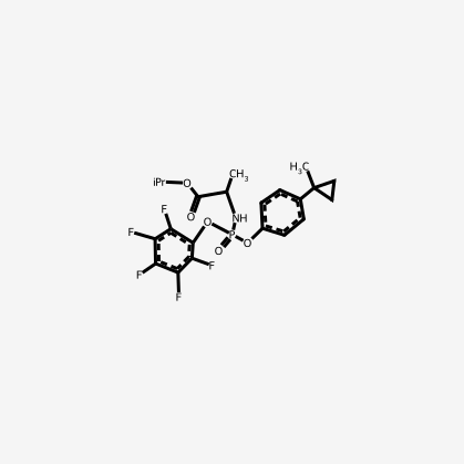 CC(C)OC(=O)C(C)NP(=O)(Oc1ccc(C2(C)CC2)cc1)Oc1c(F)c(F)c(F)c(F)c1F